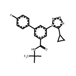 CC(C)(NC(=O)c1cc(-c2ccc(F)cc2)cc(-n2nnnc2C2CC2)c1)C(F)(F)F